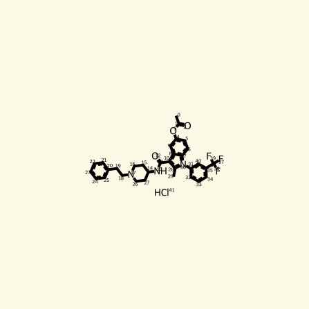 CC(=O)Oc1ccc2c(c1)c(C(=O)NC1CCN(CCc3ccccc3)CC1)c(C)n2-c1cccc(C(F)(F)F)c1.Cl